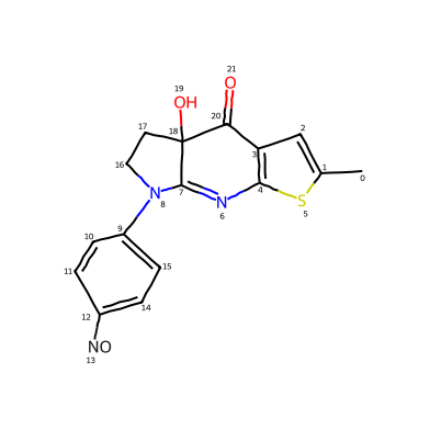 Cc1cc2c(s1)N=C1N(c3ccc(N=O)cc3)CCC1(O)C2=O